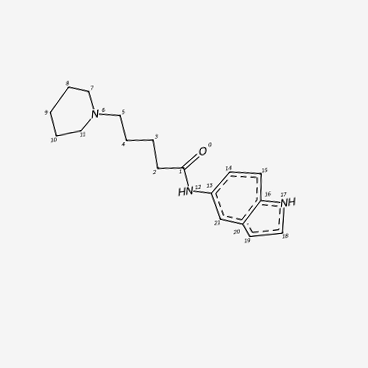 O=C(CCCCN1CCCCC1)Nc1ccc2[nH]ccc2c1